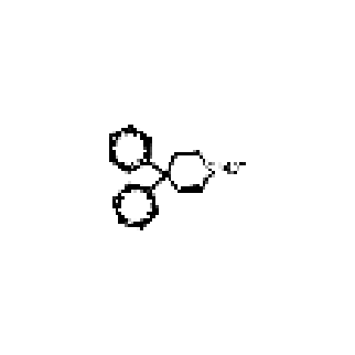 [O-][S+]1C=CC(c2ccccc2)(c2ccccc2)CC1